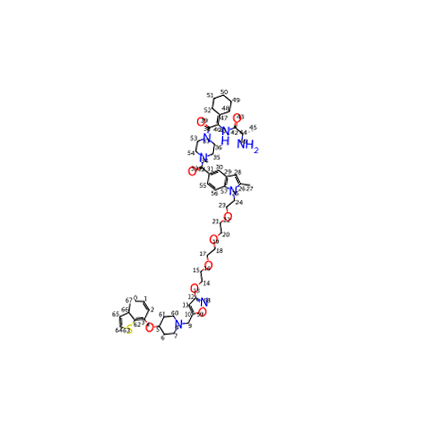 C/C=C\C(OC1CCN(Cc2cc(OCCOCCOCCOCCn3c(C)cc4cc(C(=O)N5CCN(C(=O)C(NC(=O)[C@H](C)N)=C6CCCCC6)CC5)ccc43)no2)CC1)=C1\SC=CC1C